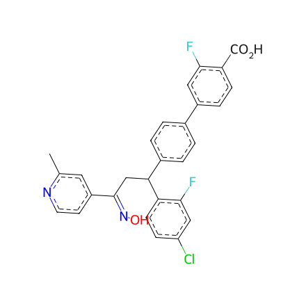 Cc1cc(/C(CC(c2ccc(-c3ccc(C(=O)O)c(F)c3)cc2)c2ccc(Cl)cc2F)=N/O)ccn1